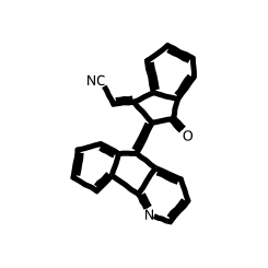 N#C/C=C1/C(=C2\c3ccccc3-c3ncccc32)C(=O)c2ccccc21